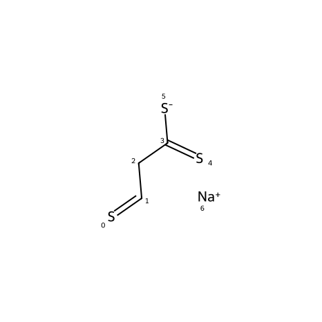 S=CCC(=S)[S-].[Na+]